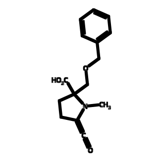 CN1C(=C=O)CCC1(COCc1ccccc1)C(=O)O